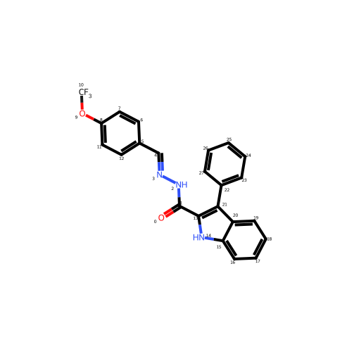 O=C(NN=Cc1ccc(OC(F)(F)F)cc1)c1[nH]c2ccccc2c1-c1ccccc1